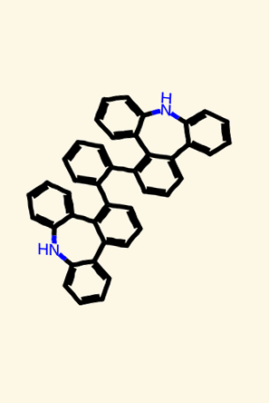 c1ccc2c(c1)Nc1ccccc1-c1c-2cccc1-c1ccccc1-c1cccc2c1-c1ccccc1Nc1ccccc1-2